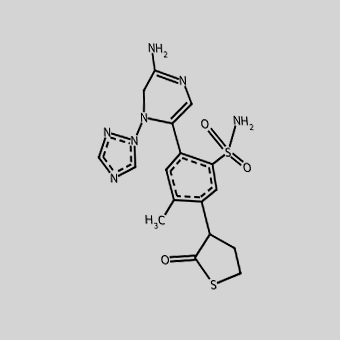 Cc1cc(C2=CN=C(N)CN2n2cncn2)c(S(N)(=O)=O)cc1C1CCSC1=O